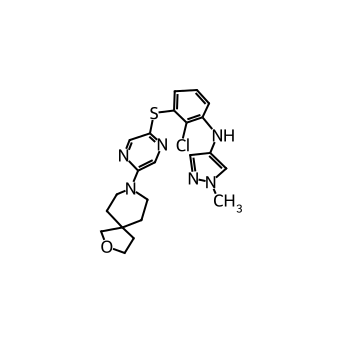 Cn1cc(Nc2cccc(Sc3cnc(N4CCC5(CCOC5)CC4)cn3)c2Cl)cn1